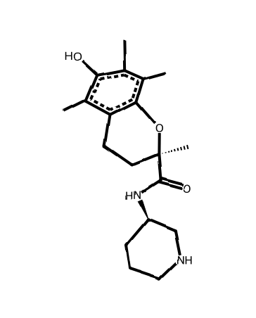 Cc1c(C)c2c(c(C)c1O)CC[C@](C)(C(=O)N[C@@H]1CCCNC1)O2